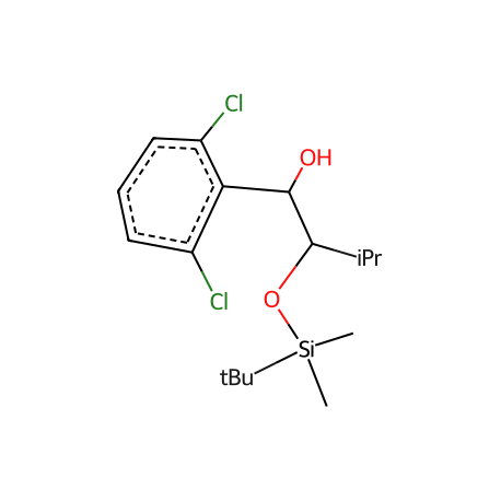 CC(C)C(O[Si](C)(C)C(C)(C)C)C(O)c1c(Cl)cccc1Cl